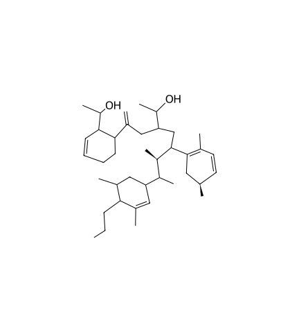 C=C(CC(CC(C1=C(C)C=C[C@@H](C)C1)[C@H](C)C(C)C1C=C(C)C(CCC)C(C)C1)C(C)O)C1CCC=CC1C(C)O